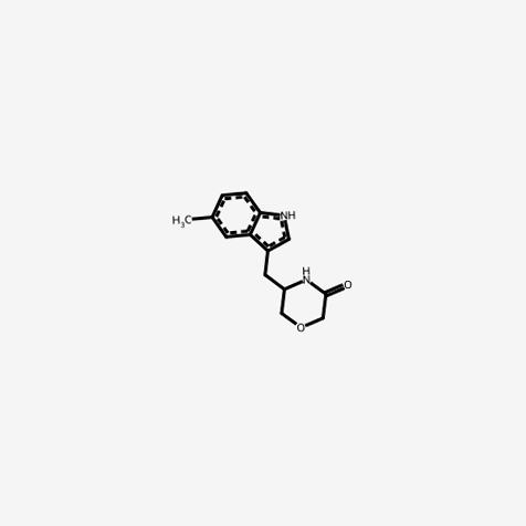 Cc1ccc2[nH]cc(CC3COCC(=O)N3)c2c1